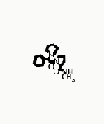 CNC(=O)C1CCCN1C(=O)C(c1ccccc1)N1CCCCC1